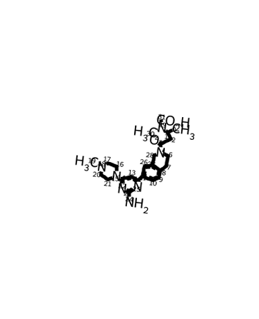 CC(CC(=O)N1CCc2ccc(-c3cc(N4CCN(C)CC4)nc(N)n3)cc2C1)N(C)C(=O)O